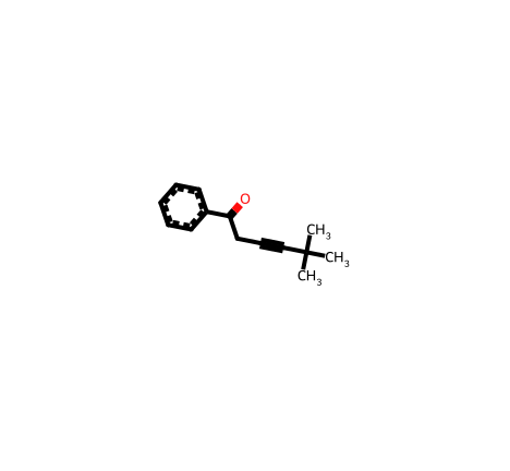 CC(C)(C)C#CCC(=O)c1ccccc1